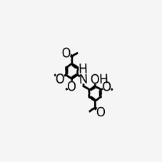 COc1cc(C(C)=O)cc(CNc2cc(C(C)=O)cc(OC)c2OC)c1O